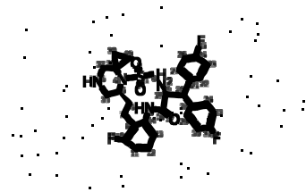 CS(=O)(=O)N1[C@@H](CCc2c(F)cccc2NC(=O)[C@@H](N)C(c2ccc(F)cc2)c2ccc(F)cc2)CNCC12CC2